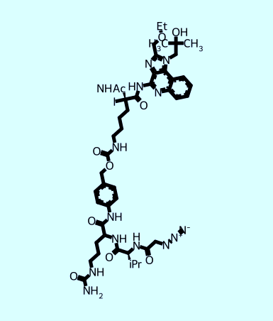 CCOCc1nc2c(NC(=O)[C@@](I)(CCCCNC(=O)OCc3ccc(NC(=O)C(CCCNC(N)=O)NC(=O)[C@@H](NC(=O)CN=[N+]=[N-])C(C)C)cc3)NC(C)=O)nc3ccccc3c2n1CC(C)(C)O